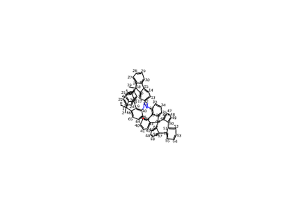 CC1(C)c2ccccc2-c2c(N(c3ccc4c(c3)C(C)(c3ccccc3)c3ccccc3-4)c3cccc4c3-c3ccccc3C43c4ccccc4-c4ccccc4-c4ccccc43)cccc21